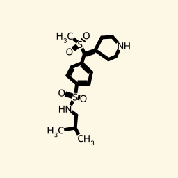 CC(C)CNS(=O)(=O)c1ccc(C(=C2CCNCC2)S(C)(=O)=O)cc1